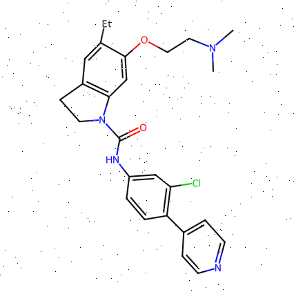 CCc1cc2c(cc1OCCN(C)C)N(C(=O)Nc1ccc(-c3ccncc3)c(Cl)c1)CC2